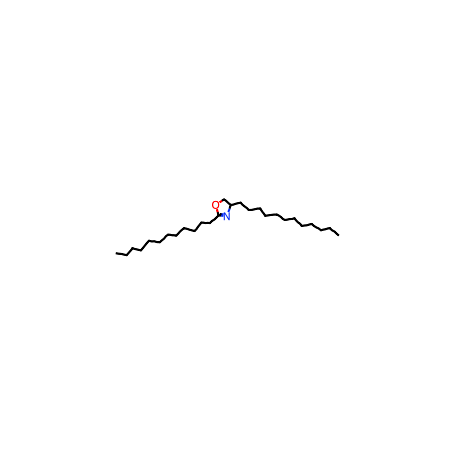 CCCCCCCCCCCCC1=NC(CCCCCCCCCCCC)CO1